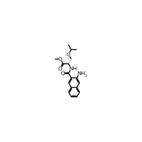 COC(=O)[C@H](COC(C)C)NC(=O)c1cc2ccccc2cc1N